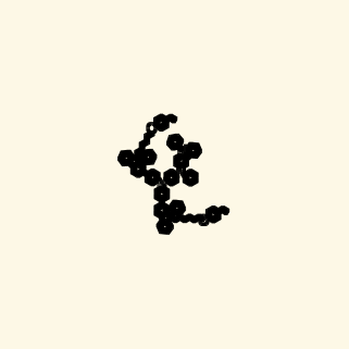 C=Cc1ccc(OCCCCCCC2(c3ccccc3)c3ccccc3-c3ccc(-c4ccc(N(c5ccc(-c6ccc7c(c6)C(CCCCCCOc6ccc(C=C)cc6)(c6ccccc6)c6ccccc6-7)cc5)c5ccc(N(c6ccccc6)c6ccc7c(c6)c6ccccc6n7-c6ccccc6)cc5)cc4)cc32)cc1